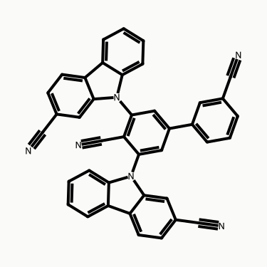 N#Cc1cccc(-c2cc(-n3c4ccccc4c4ccc(C#N)cc43)c(C#N)c(-n3c4ccccc4c4ccc(C#N)cc43)c2)c1